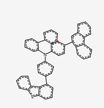 c1ccc(-c2ccccc2N(c2ccc(-c3cc4ccccc4c4ccccc34)cc2)c2ccc(-c3cccc4sc5ccccc5c34)cc2)cc1